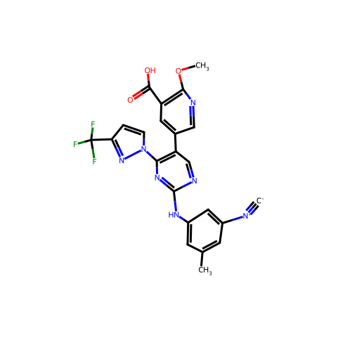 [C-]#[N+]c1cc(C)cc(Nc2ncc(-c3cnc(OC)c(C(=O)O)c3)c(-n3ccc(C(F)(F)F)n3)n2)c1